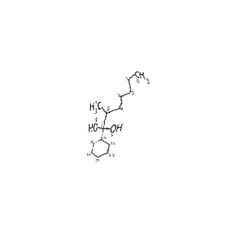 CCCCCC(C)C(O)(O)C1CCCCC1